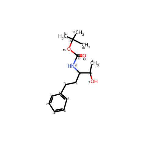 CC(O)C(CCc1ccccc1)NC(=O)OC(C)(C)C